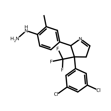 Cc1cc(C2N=CCC2(c2cc(Cl)cc(Cl)c2)C(F)(F)F)ccc1NN